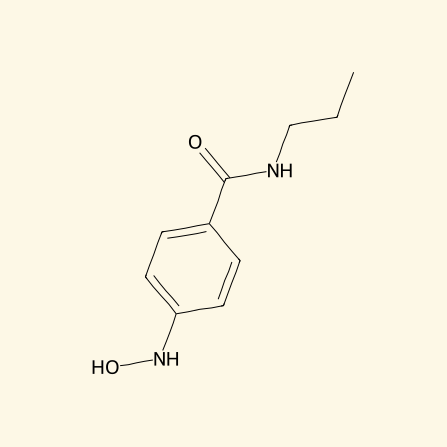 CCCNC(=O)c1ccc(NO)cc1